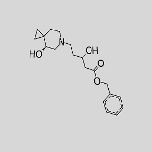 O=C(C[C@@H](O)CCN1CCC2(CC2)[C@H](O)C1)OCc1ccccc1